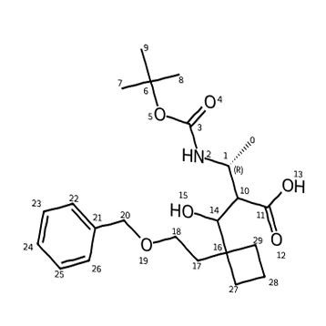 C[C@@H](NC(=O)OC(C)(C)C)C(C(=O)O)C(O)C1(CCOCc2ccccc2)CCC1